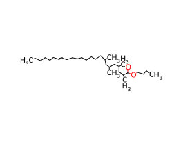 CCCCCCC=CCCCCCCCCC(C)CC(C)CC(C)CC(C)C(=O)OCCCC